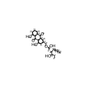 CC[C@H](O)[C@H](C[C@@H](O)OCc1cc(O)c2c(c1)C(=O)c1cccc(O)c1C2=O)N=[N+]=[N-]